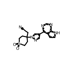 N#CCC1(n2cc(-c3ncnc4[nH]ccc34)cn2)CCS(=O)(=O)CC1